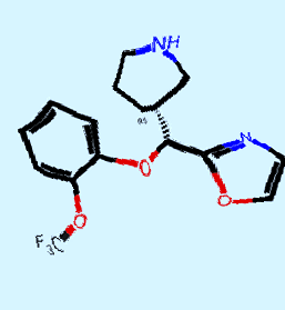 FC(F)(F)Oc1ccccc1OC(c1ncco1)[C@@H]1CCNC1